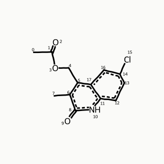 CC(=O)OCc1c(C)c(=O)[nH]c2ccc(Cl)cc12